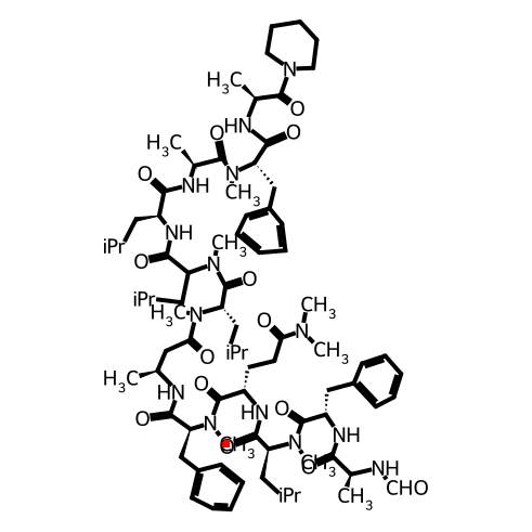 CC(C)CC(C(=O)N[C@@H](CC(C)C)C(=O)N[C@@H](C)C(=O)N(C)[C@@H](Cc1ccccc1)C(=O)N[C@@H](C)C(=O)N1CCCCC1)N(C)C(=O)[C@H](CC(C)C)N(C)C(=O)C[C@H](C)NC(=O)[C@H](Cc1ccccc1)N(C)C(=O)[C@H](CCC(=O)N(C)C)NC(=O)[C@H](CC(C)C)N(C)C(=O)[C@H](Cc1ccccc1)NC(=O)[C@H](C)NC=O